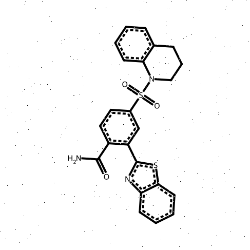 NC(=O)c1ccc(S(=O)(=O)N2CCCc3ccccc32)cc1-c1nc2ccccc2s1